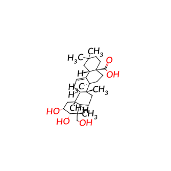 CC1(C)CC[C@]2(C(=O)O)CC[C@]3(C)C(=CC[C@@H]4[C@@]5(C)C[C@@H](O)[C@@H](O)[C@@](C)(CO)[C@@H]5CC[C@]43C)[C@@H]2C1